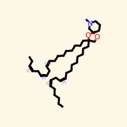 CC/C=C\C/C=C\C/C=C\CCCCCCCCC1(CCCCCCCC/C=C\C/C=C\CCCCC)COC2(CCCN(C)C2)O1